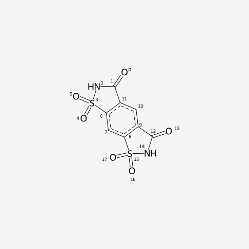 O=C1NS(=O)(=O)c2cc3c(cc21)C(=O)NS3(=O)=O